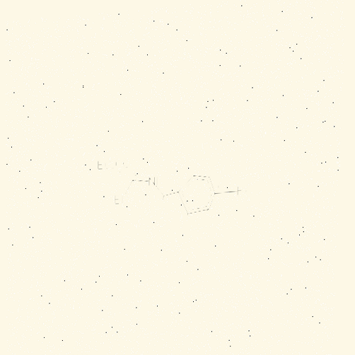 CCOC(=O)[C@@H](CC)NCc1ccc(F)cc1